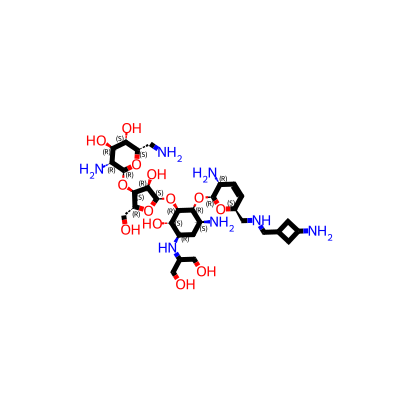 NC[C@@H]1O[C@H](O[C@H]2[C@@H](O)[C@H](O[C@@H]3[C@@H](O)[C@H](NC(CO)CO)C[C@H](N)[C@H]3O[C@H]3O[C@H](CNCC4CC(N)C4)C=C[C@H]3N)O[C@@H]2CO)[C@H](N)[C@@H](O)[C@@H]1O